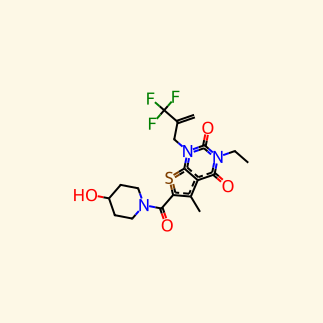 C=C(Cn1c(=O)n(CC)c(=O)c2c(C)c(C(=O)N3CCC(O)CC3)sc21)C(F)(F)F